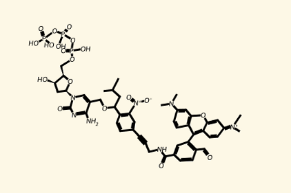 CC(C)CC(OCc1cn([C@H]2C[C@@H](O)[C@@H](COP(=O)(O)OP(=O)(O)OP(=O)(O)O)O2)c(=O)nc1N)c1ccc(C#CCNC(=O)c2ccc(C=O)c(-c3c4ccc(=[N+](C)C)cc-4oc4cc(N(C)C)ccc34)c2)cc1[N+](=O)[O-]